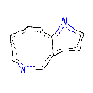 c1cncc2ccnc-2c1